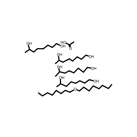 CC(=O)O.CC(O)CCCCCCO.CC(O)CCCCCCO.CC(O)CCCCCCO.CC(O)CCCCCCO.CCCCCCCCOCCCCCCCC